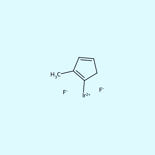 CC1=[C]([Ir+2])CC=C1.[F-].[F-]